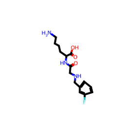 NCCCCC(NC(=O)CNCc1cccc(F)c1)C(=O)O